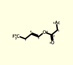 CC(=O)CC(=O)OC=CCC(F)(F)F